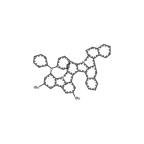 CC(C)(C)c1cc(N(c2ccccc2)c2ccccc2)c2c(c1)c1cc(C(C)(C)C)cc3c4c5c6c7ccccc7cc7c8c9ccccc9ccc8n(c5ncc4n2c13)c76